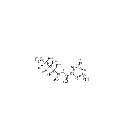 O=C(CC(=O)C(F)(F)C(F)(F)C(F)(F)C(F)(F)F)c1cc(Cl)cc(Cl)c1